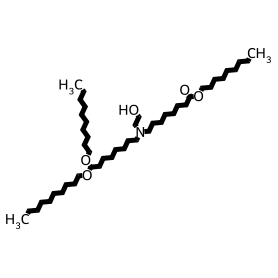 CCCCCCCCCCOC(CCCCCCCN(CCO)CCCCCCCC(=O)OCCCCCCCCC)OCCCCCCCCCC